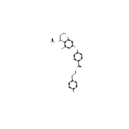 O=C(O)OC1CCOc2cc(Oc3ccc(C(=O)NCCc4ccc(Cl)cc4)cc3)cc(Cl)c21